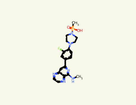 CNc1nc(-c2ccc(N3CCN(P(C)(=O)O)CC3)c(F)c2)cc2nccnc12